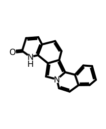 O=c1ccc2ccc3c(cn4ccc5ccccc5c34)c2[nH]1